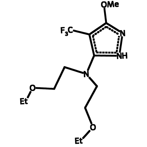 CCOCCN(CCOCC)c1[nH]nc(OC)c1C(F)(F)F